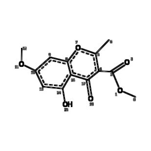 COC(=O)c1c(C)oc2cc(OC)cc(O)c2c1=O